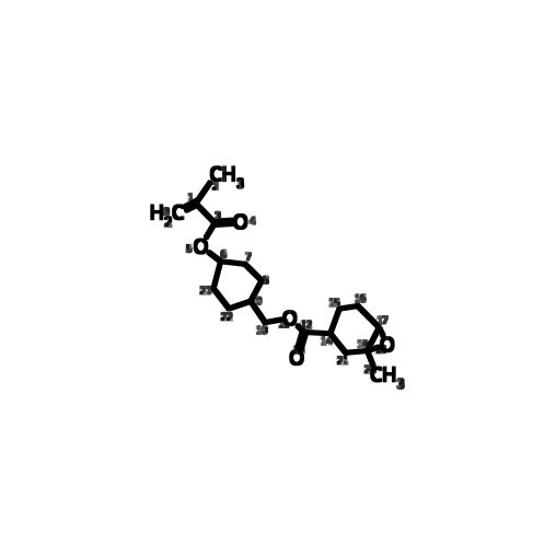 C=C(C)C(=O)OC1CCC(COC(=O)C2CCC3OC3(C)C2)CC1